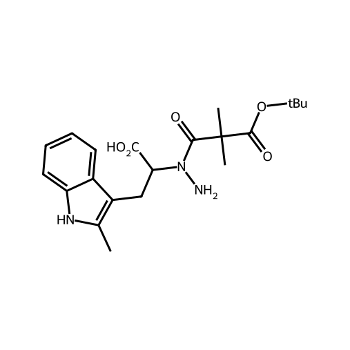 Cc1[nH]c2ccccc2c1CC(C(=O)O)N(N)C(=O)C(C)(C)C(=O)OC(C)(C)C